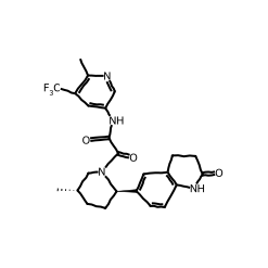 Cc1ncc(NC(=O)C(=O)N2C[C@@H](C)CC[C@@H]2c2ccc3c(c2)CCC(=O)N3)cc1C(F)(F)F